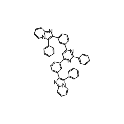 c1ccc(-c2nc(-c3cccc(-c4nc5ccccn5c4-c4ccccc4)c3)cc(-c3cccc(-c4nc5ccccn5c4-c4ccccc4)c3)n2)cc1